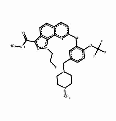 CN1CCN(Cc2ccc(OC(F)(F)F)c(Nc3ncc4ccc5c(C(=O)NO)nn(CCF)c5c4n3)c2)CC1